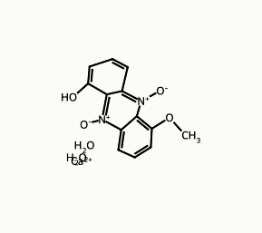 COc1cccc2c1[n+]([O-])c1cccc(O)c1[n+]2[O-].O.O.[Ca+2]